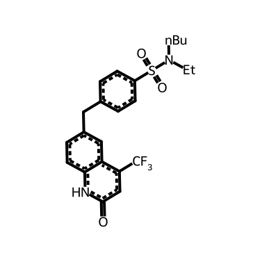 CCCCN(CC)S(=O)(=O)c1ccc(Cc2ccc3[nH]c(=O)cc(C(F)(F)F)c3c2)cc1